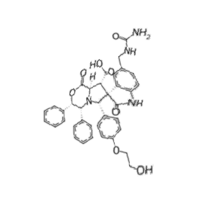 NC(=O)NCc1ccc2c(c1)[C@]1(C(=O)N2)[C@H](c2ccc(OCCO)cc2)N2[C@H](c3ccccc3)[C@H](c3ccccc3)OC(=O)[C@H]2[C@@H]1C(=O)O